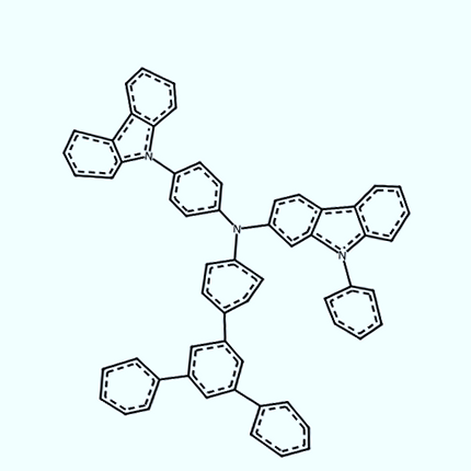 c1ccc(-c2cc(-c3ccccc3)cc(-c3ccc(N(c4ccc(-n5c6ccccc6c6ccccc65)cc4)c4ccc5c6ccccc6n(-c6ccccc6)c5c4)cc3)c2)cc1